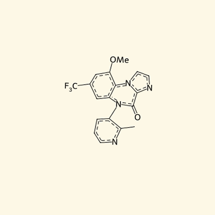 COc1cc(C(F)(F)F)cc2c1n1ccnc1c(=O)n2-c1cccnc1C